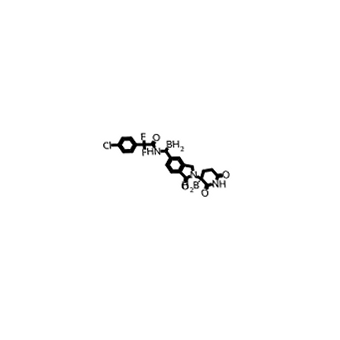 BC(NC(=O)C(F)(F)c1ccc(Cl)cc1)c1ccc2c(c1)CN([C@@]1(B)CCC(=O)NC1=O)C2=O